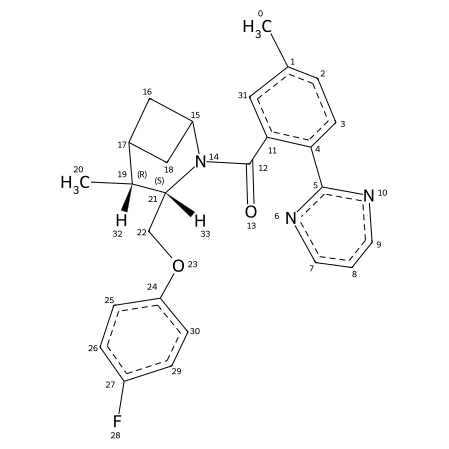 Cc1ccc(-c2ncccn2)c(C(=O)N2C3CC(C3)[C@@H](C)[C@H]2COc2ccc(F)cc2)c1